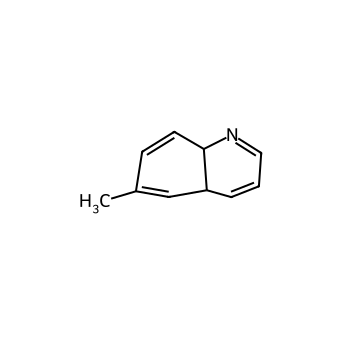 CC1=CC2C=CC=NC2C=C1